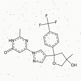 Cc1nc(-n2cc(C3(c4ccc(C(F)(F)F)cc4)CC(C)(O)CO3)cn2)cc(=O)[nH]1